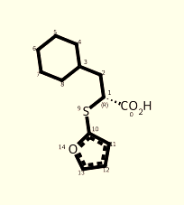 O=C(O)[C@@H](CC1CCCCC1)Sc1ccco1